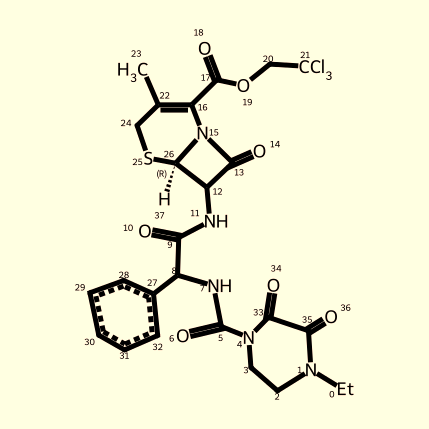 CCN1CCN(C(=O)NC(C(=O)NC2C(=O)N3C(C(=O)OCC(Cl)(Cl)Cl)=C(C)CS[C@H]23)c2ccccc2)C(=O)C1=O